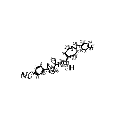 Cl.N#Cc1ccc(-c2nc(C(=O)NCCC3CCN(Cc4ccc(F)cc4)CC3)no2)cc1